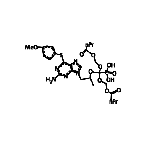 CCCC(=O)OCOC(OCOC(=O)CCC)(OC(C)Cn1cnc2c(Sc3ccc(OC)cc3)nc(N)nc21)P(=O)(O)O